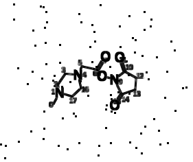 CN1CCN(CC(=O)ON2C(=O)CCC2=O)CC1